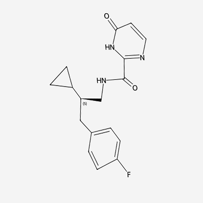 O=C(NC[C@@H](Cc1ccc(F)cc1)C1CC1)c1nccc(=O)[nH]1